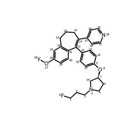 FCCCN1CC[C@H](Oc2ccc(C3=C(c4ccncc4)CCCc4cc(OF)ccc43)cc2)C1